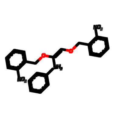 O=[N+]([O-])c1ccccc1COC=C(OCc1ccccc1[N+](=O)[O-])[SiH2]c1ccccc1